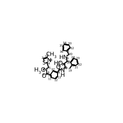 Cc1csc(CN(C)C(=O)c2cccc(C(=O)N[C@@H](Cc3ccccc3)[C@H](O)CNCc3ccccc3)c2)n1